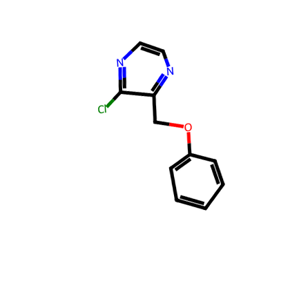 Clc1nccnc1COc1ccccc1